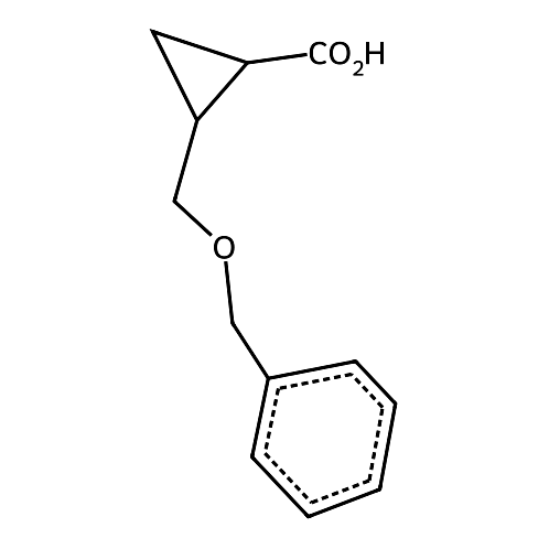 O=C(O)C1CC1COCc1ccccc1